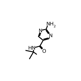 CC(C)(C)NC(=O)c1cnc(N)nc1